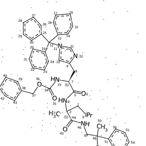 CC(C)C[C@](C)(NC(=O)[C@H](Cc1cn(C(c2ccccc2)(c2ccccc2)c2ccccc2)cn1)NC(=O)OCc1ccccc1)C(=O)NCC(C)(C)c1ccccc1